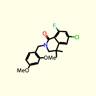 COc1ccc(CN2CC(C)(C)c3cc(Cl)cc(F)c3C2=O)c(OC)c1